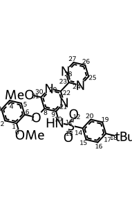 COc1ccccc1Oc1c(NS(=O)(=O)c2ccc(C(C)(C)C)cc2)nc(-c2ncccn2)nc1OC